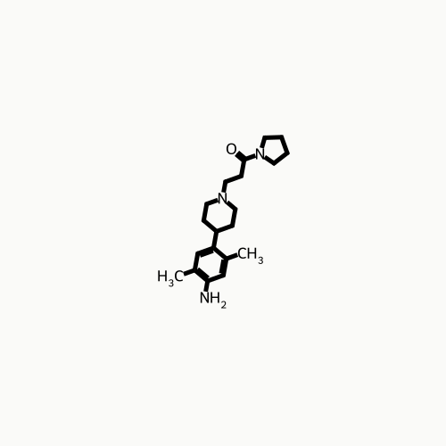 Cc1cc(C2CCN(CCC(=O)N3CCCC3)CC2)c(C)cc1N